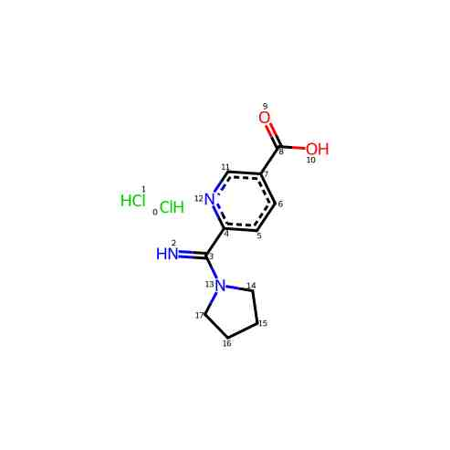 Cl.Cl.N=C(c1ccc(C(=O)O)cn1)N1CCCC1